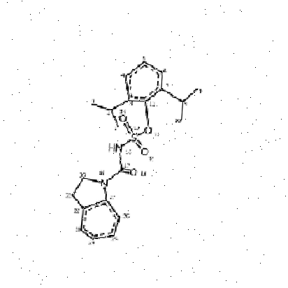 CC(C)c1cccc(C(C)C)c1OS(=O)(=O)NC(=O)N1CCc2ccccc21